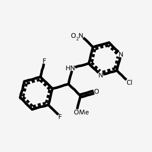 COC(=O)C(Nc1nc(Cl)ncc1[N+](=O)[O-])c1c(F)cccc1F